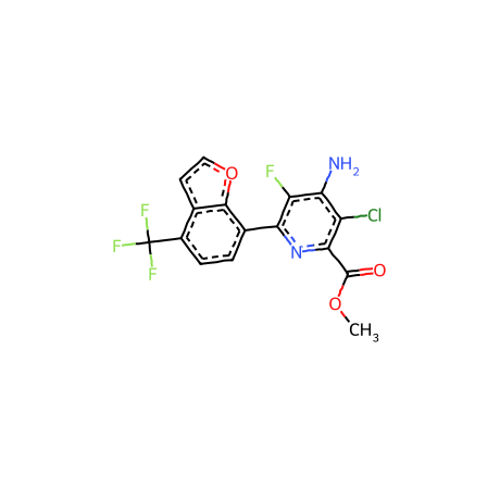 COC(=O)c1nc(-c2ccc(C(F)(F)F)c3ccoc23)c(F)c(N)c1Cl